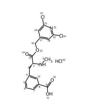 CN[C@@H](Cc1cccc(C(=O)O)c1)C(=O)OCc1cc(Cl)nc(Cl)c1.Cl